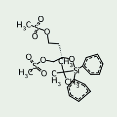 CC(C)(C)[Si](O[C@@H](CCOS(C)(=O)=O)COS(C)(=O)=O)(c1ccccc1)c1ccccc1